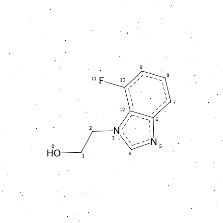 OCCn1cnc2cccc(F)c21